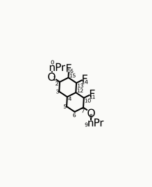 CCCOC1CC2CCC(OCCC)C(F)C2C(F)C1F